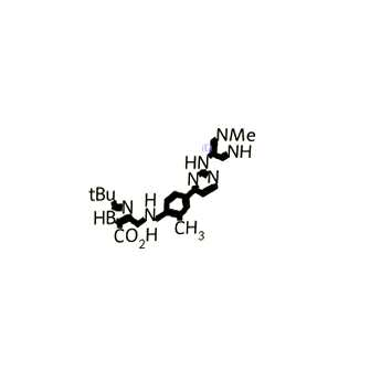 CN/C=C(\C=N)Nc1nccc(-c2ccc(CNCC3=C(C(=O)O)BC(C(C)(C)C)=N3)c(C)c2)n1